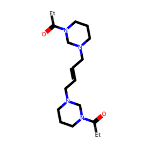 CCC(=O)N1CCCN(C/C=C/CN2CCCN(C(=O)CC)C2)C1